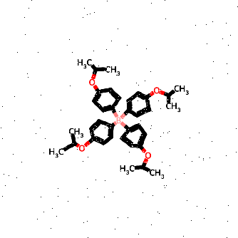 CC(C)Oc1ccc([B-](c2ccc(OC(C)C)cc2)(c2ccc(OC(C)C)cc2)c2ccc(OC(C)C)cc2)cc1